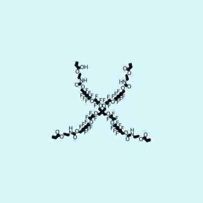 C=CC(=O)OCCNC(=O)OCC(F)(F)C(F)(F)C(F)(F)OC(F)C(F)(F)OCC(COC(F)(F)C(F)OC(F)(F)C(F)(F)C(F)(F)COC(=O)NCCOC(=O)C=C)(COC(F)(F)C(F)OC(F)(F)C(F)(F)C(F)(F)COC(=O)NCCOC(=O)C=C)COC(F)(F)C(F)OC(F)(F)C(F)(F)C(F)(F)COC(=O)NCCOC(O)C=C